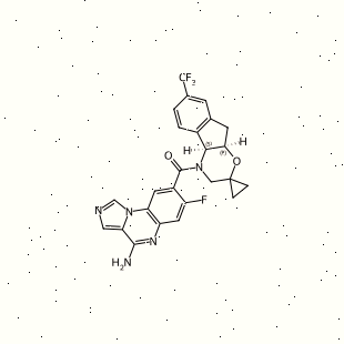 Nc1nc2cc(F)c(C(=O)N3CC4(CC4)O[C@@H]4Cc5cc(C(F)(F)F)ccc5[C@@H]43)cc2n2cncc12